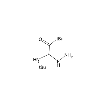 CC(C)(C)NC(PN)C(=O)C(C)(C)C